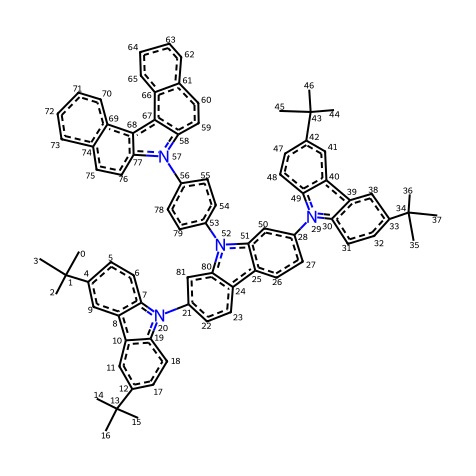 CC(C)(C)c1ccc2c(c1)c1cc(C(C)(C)C)ccc1n2-c1ccc2c3ccc(-n4c5ccc(C(C)(C)C)cc5c5cc(C(C)(C)C)ccc54)cc3n(-c3ccc(-n4c5ccc6ccccc6c5c5c6ccccc6ccc54)cc3)c2c1